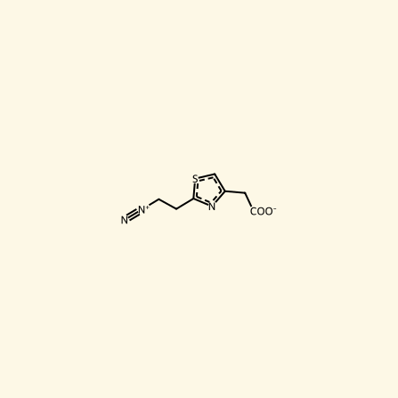 N#[N+]CCc1nc(CC(=O)[O-])cs1